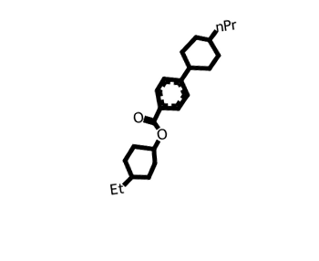 CCCC1CCC(c2ccc(C(=O)OC3CCC(CC)CC3)cc2)CC1